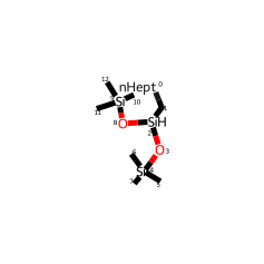 CCCCCCCC[SiH](O[Si](C)(C)C)O[Si](C)(C)C